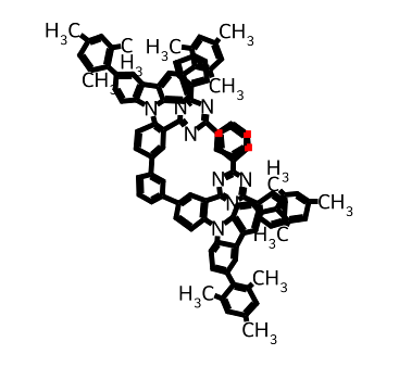 Cc1cc(C)c(-c2ccc3c(c2)c2cc(-c4c(C)cc(C)cc4C)ccc2n3-c2ccc(-c3cccc(-c4ccc(-n5c6ccc(-c7c(C)cc(C)cc7C)cc6c6cc(-c7c(C)cc(C)cc7C)ccc65)c(-c5nc(-c6ccccc6)nc(-c6ccccc6)n5)c4)c3)cc2-c2nc(-c3ccccc3)nc(-c3ccccc3)n2)c(C)c1